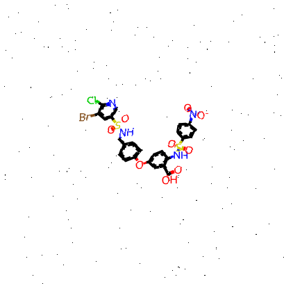 O=C(O)c1cc(Oc2ccc(CNS(=O)(=O)c3cnc(Cl)c(Br)c3)cc2)ccc1NS(=O)(=O)c1ccc([N+](=O)[O-])cc1